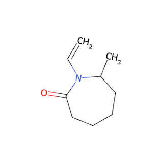 C=CN1C(=O)CCCCC1C